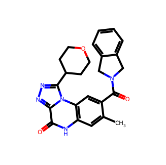 Cc1cc2[nH]c(=O)c3nnc(C4CCOCC4)n3c2cc1C(=O)N1Cc2ccccc2C1